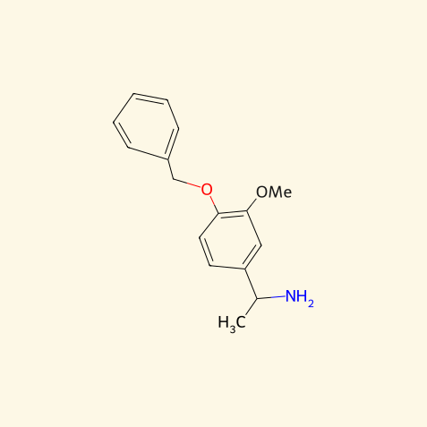 COc1cc(C(C)N)ccc1OCc1ccccc1